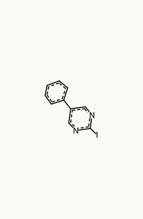 Ic1ncc(-c2ccccc2)cn1